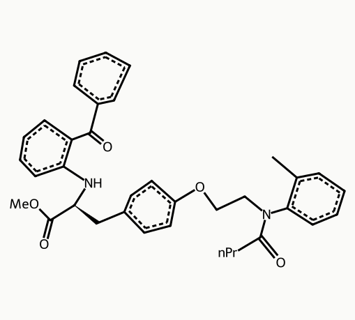 CCCC(=O)N(CCOc1ccc(C[C@H](Nc2ccccc2C(=O)c2ccccc2)C(=O)OC)cc1)c1ccccc1C